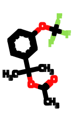 CC(=O)OC(C)(C)c1cccc(OC(F)(F)F)c1